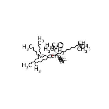 CCCCCCCCCCCCCCCCCC[N+](C)(C)C.CCCCC[N+](CCCCC)(CCCCC)CCCCC.C[N+](C)(C)c1ccccc1.[Br-].[Br-].[Br-]